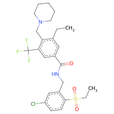 CCc1cc(C(=O)NCc2cc(Cl)ccc2S(=O)(=O)CC)cc(C(F)(F)F)c1CN1CCCCC1